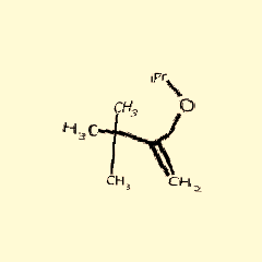 C=C(OC(C)C)C(C)(C)C